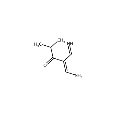 CC(C)C(=O)/C(C=N)=C/N